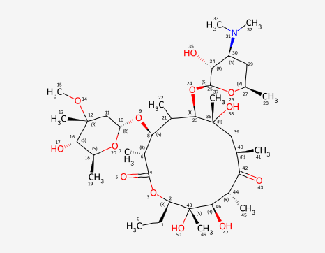 CC[C@H]1OC(=O)[C@H](C)[C@@H](O[C@H]2C[C@@](C)(OC)[C@@H](O)[C@H](C)O2)C(C)[C@@H](O[C@@H]2O[C@H](C)C[C@H](N(C)C)[C@H]2O)[C@](C)(O)C[C@@H](C)C(=O)[C@H](C)[C@@H](O)[C@]1(C)O